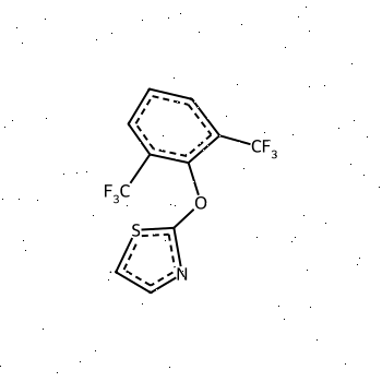 FC(F)(F)c1cccc(C(F)(F)F)c1Oc1nc[c]s1